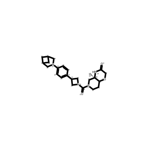 O=C1COC2CCN(C(=O)N3CC(c4ccc(N5CC6CC(C6)C5)cc4)C3)C[C@H]2N1